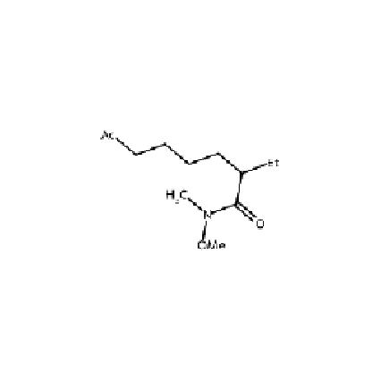 CCC(CCCCC(C)=O)C(=O)N(C)OC